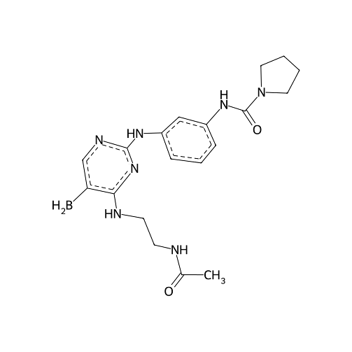 Bc1cnc(Nc2cccc(NC(=O)N3CCCC3)c2)nc1NCCNC(C)=O